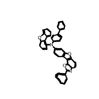 c1ccc(-c2ccc(N(c3ccc4c(c3)oc3ccc5nc(-c6ccccc6)oc5c34)c3cccc4oc5ccccc5c34)cc2)cc1